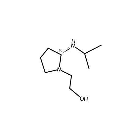 CC(C)N[C@H]1CCCN1CCO